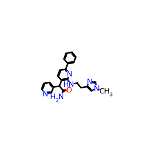 Cn1cnc(CCNc2nc(-c3ccccc3)ccc2C(C(N)=O)c2cccnc2)c1